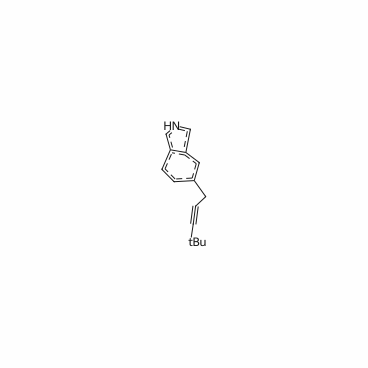 CC(C)(C)C#CCc1ccc2c[nH]cc2c1